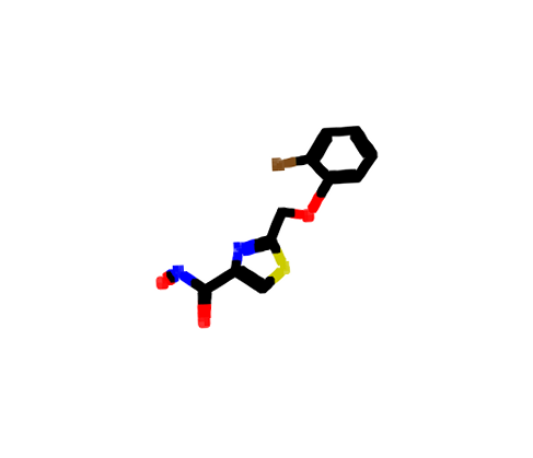 O=NC(=O)c1csc(COc2ccccc2Br)n1